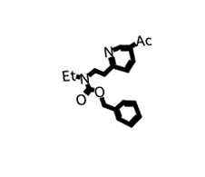 CCN(CCc1ccc(C(C)=O)cn1)C(=O)OCc1ccccc1